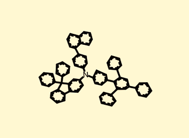 c1ccc(-c2cc(-c3ccccc3)c(-c3ccc(N(c4ccc(-c5cccc6ccccc56)cc4)c4ccc5c(c4)C(c4ccccc4)(c4ccccc4)c4ccccc4-5)cc3)c(-c3ccccc3)c2)cc1